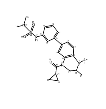 CC(=O)N1c2ccc(-c3cccc(NS(=O)(=O)N(C)C)c3)cc2N(C(=O)C2CC2)CC1C